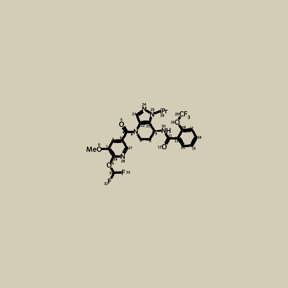 COc1cc(C(=O)N2CC[C@H](NC(=O)c3ccccc3OC(F)(F)F)c3c2cnn3C(C)C)cnc1OC(F)F